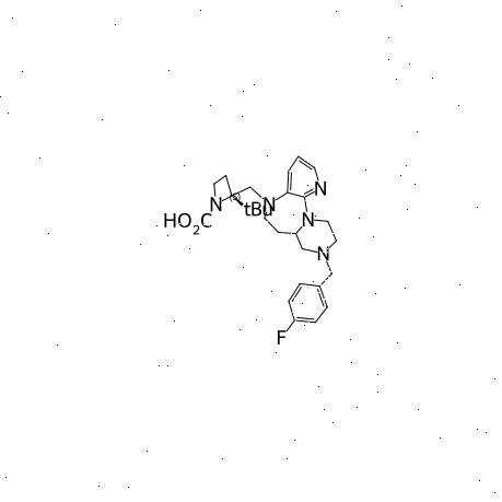 CC(C)(C)[C@]1(CN2CCC3CN(Cc4ccc(F)cc4)CCN3c3ncccc32)CCN1C(=O)O